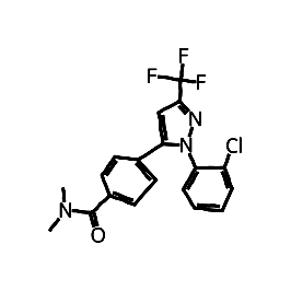 CN(C)C(=O)c1ccc(-c2cc(C(F)(F)F)nn2-c2ccccc2Cl)cc1